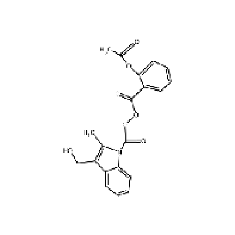 CC(=O)Oc1ccccc1C(=O)OOC(=O)n1c(C)c(CO)c2ccccc21